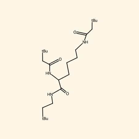 CC(C)(C)CCNC(=O)C(CCCCNC(=O)CC(C)(C)C)NC(=O)CC(C)(C)C